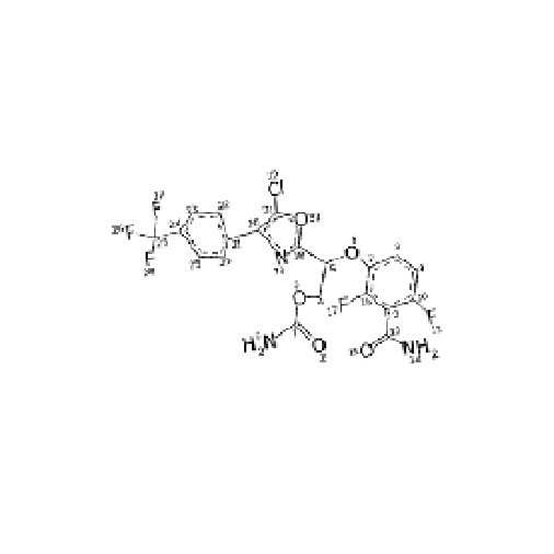 NC(=O)OCC(Oc1ccc(F)c(C(N)=O)c1F)c1nc(-c2ccc(C(F)(F)F)cc2)c(Cl)o1